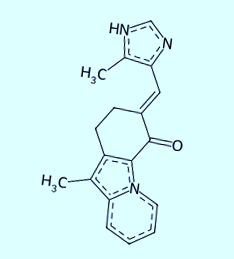 Cc1[nH]cnc1C=C1CCc2c(C)c3ccccn3c2C1=O